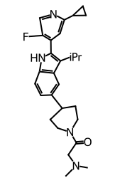 CC(C)c1c(-c2cc(C3CC3)ncc2F)[nH]c2ccc(C3CCN(C(=O)CN(C)C)CC3)cc12